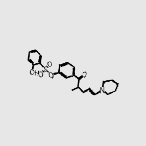 CC(CC=CN1CCCCC1)C(=O)c1cccc(OS(=O)(=O)c2ccccc2O)c1